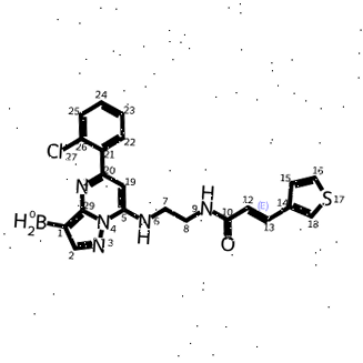 Bc1cnn2c(NCCNC(=O)/C=C/c3ccsc3)cc(-c3ccccc3Cl)nc12